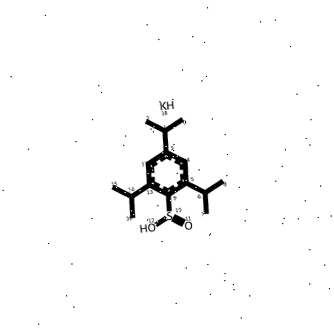 CC(C)c1cc(C(C)C)c(S(=O)O)c(C(C)C)c1.[KH]